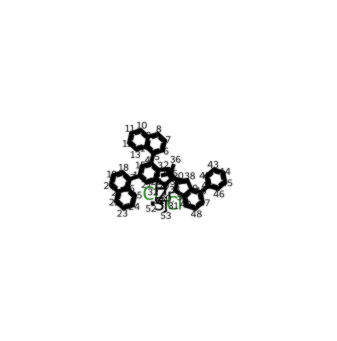 CC1=Cc2c(-c3cccc4ccccc34)cc(-c3cccc4ccccc34)cc2[CH]1[Zr]([Cl])([Cl])([CH]1C(C(C)C)=Cc2c(-c3ccccc3)cccc21)[SiH](C)C